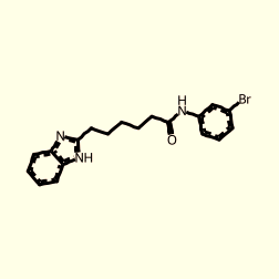 O=C(CCCCCc1nc2ccccc2[nH]1)Nc1cccc(Br)c1